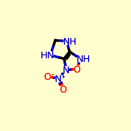 O=[N+]([O-])N1ONC2=C1NCN2